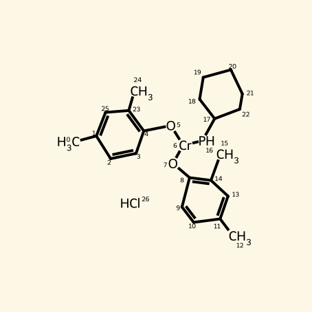 Cc1ccc([O][Cr]([O]c2ccc(C)cc2C)[PH]C2CCCCC2)c(C)c1.Cl